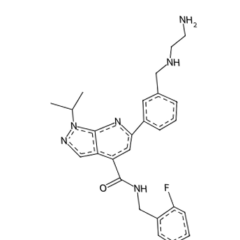 CC(C)n1ncc2c(C(=O)NCc3ccccc3F)cc(-c3cccc(CNCCN)c3)nc21